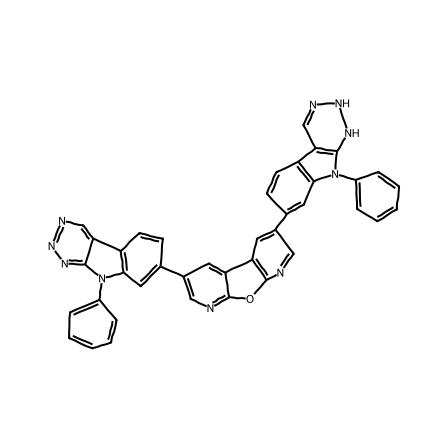 C1=NNNc2c1c1ccc(-c3cnc4oc5ncc(-c6ccc7c8cnnnc8n(-c8ccccc8)c7c6)cc5c4c3)cc1n2-c1ccccc1